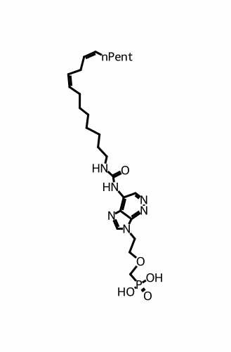 CCCCC/C=C\C/C=C\CCCCCCCNC(=O)Nc1cnnc2c1ncn2CCOCP(=O)(O)O